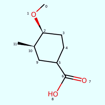 CO[C@H]1CCC(C(=O)O)C[C@H]1C